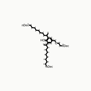 CCCCCCCCCCCCCCCCCCC(C)c1cc(COCCCCCCCCCCCC)cc(C(C)CCCCCCCCCCCCCCCCCC)c1O